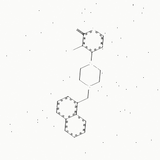 O=c1[nH]ccc(N2CCN(Cc3cccc4ccccc34)CC2)c1Cl